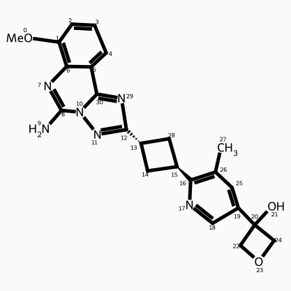 COc1cccc2c1nc(N)n1nc([C@H]3C[C@H](c4ncc(C5(O)COC5)cc4C)C3)nc21